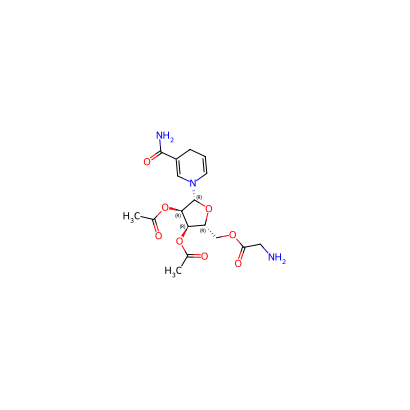 CC(=O)O[C@@H]1[C@H](OC(C)=O)[C@@H](COC(=O)CN)O[C@H]1N1C=CCC(C(N)=O)=C1